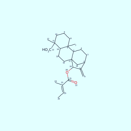 C=C1C2CCC3C4(C)CCCC(C)(C(=O)O)C4CCC3(C2)C1OC(=O)/C(C)=C/C